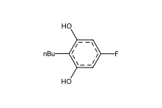 CCCCc1c(O)cc(F)cc1O